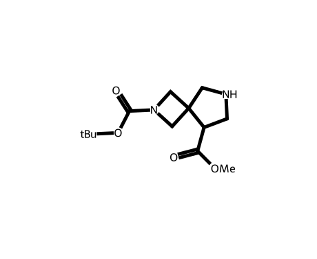 COC(=O)C1CNCC12CN(C(=O)OC(C)(C)C)C2